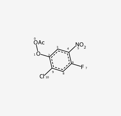 CC(=O)OOc1cc([N+](=O)[O-])c(F)cc1Cl